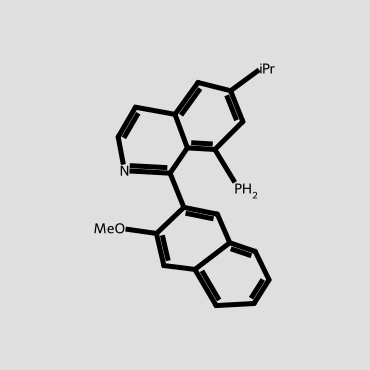 COc1cc2ccccc2cc1-c1nccc2cc(C(C)C)cc(P)c12